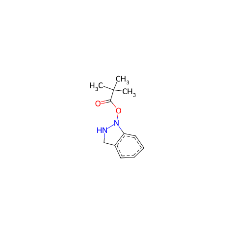 CC(C)(C)C(=O)ON1NCc2ccccc21